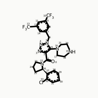 O=C(c1nnn(Cc2cc(C(F)(F)F)cc(C(F)(F)F)c2)c1N1CCNCC1)N1CCC[C@@H]1c1ccccc1Cl